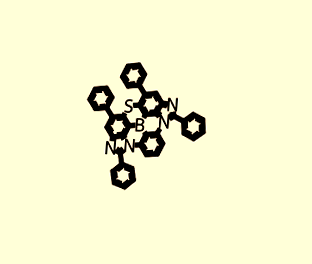 c1ccc(-c2cc3nc(-c4ccccc4)n4c3c3c2Sc2c(-c5ccccc5)cc5nc(-c6ccccc6)n6c5c2B3c2c-4cccc2-6)cc1